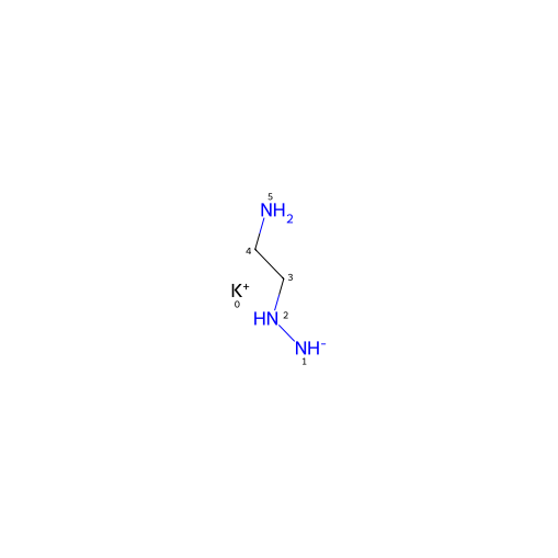 [K+].[NH-]NCCN